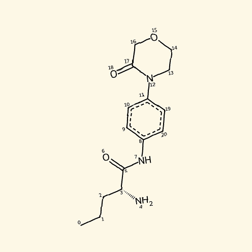 CCC[C@@H](N)C(=O)Nc1ccc(N2CCOCC2=O)cc1